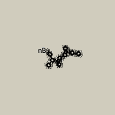 CCCCc1ccc(-c2cc(-c3ccccc3)cc(-n3c4ccccc4c4cc(-c5ccc6c(c5)c5ccccc5n6-c5ccc(-c6ccccc6)cc5)ccc43)c2)cc1